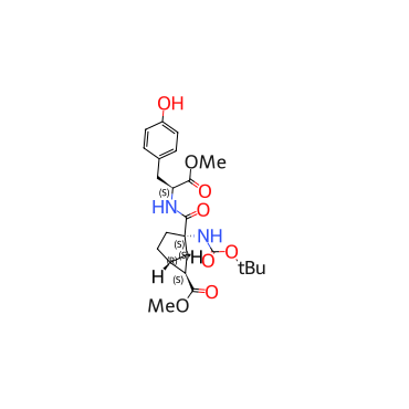 COC(=O)[C@H]1[C@@H]2CC[C@@](NC(=O)OC(C)(C)C)(C(=O)N[C@@H](Cc3ccc(O)cc3)C(=O)OC)[C@@H]21